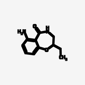 CCC1CNC(=O)c2c(N)cccc2O1